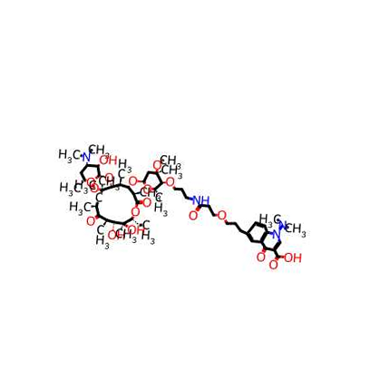 CC[C@H]1OC(=O)[C@H](C)[C@@H](O[C@H]2C[C@@](C)(OC)[C@@H](OCCCNC(=O)CCOCCCc3ccc4c(c3)c(=O)c(C(=O)O)cn4N(C)C)[C@H](C)O2)[C@H](C)[C@@H](O[C@@H]2O[C@H](C)C[C@H](N(C)C)[C@H]2O)[C@](C)(OC)C[C@H](C)C(=O)[C@H](C)[C@@H](O)[C@]1(C)O